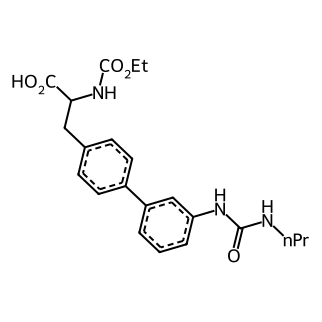 CCCNC(=O)Nc1cccc(-c2ccc(CC(NC(=O)OCC)C(=O)O)cc2)c1